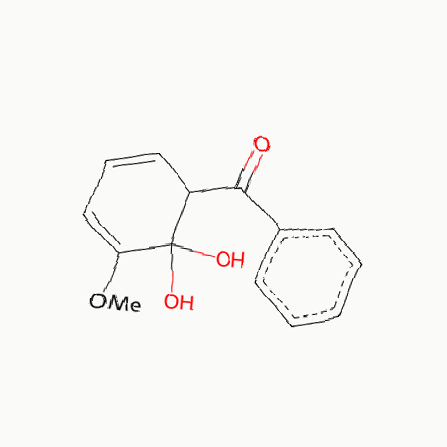 COC1=CC=CC(C(=O)c2ccccc2)C1(O)O